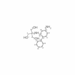 NC(CO)(CO)CO.Nc1ccc(-c2ccccc2)cc1